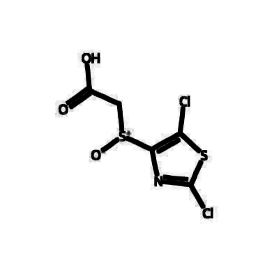 O=C(O)C[S+]([O-])c1nc(Cl)sc1Cl